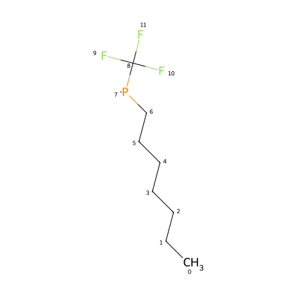 CCCCCCC[P]C(F)(F)F